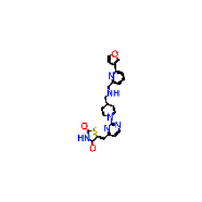 O=C1NC(=O)C(=Cc2ccnc(N3CCC(CNCc4cccc(-c5ccoc5)n4)CC3)n2)S1